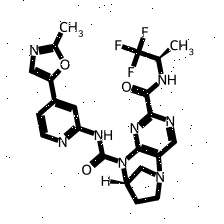 Cc1ncc(-c2ccnc(NC(=O)N3c4nc(C(=O)N[C@H](C)C(F)(F)F)ncc4N4CC[C@H]3C4)c2)o1